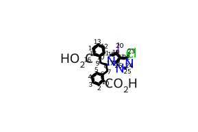 O=C(O)c1ccccc1CC(Cc1ccccc1C(=O)O)n1cc(I)c2c(Cl)ncnc21